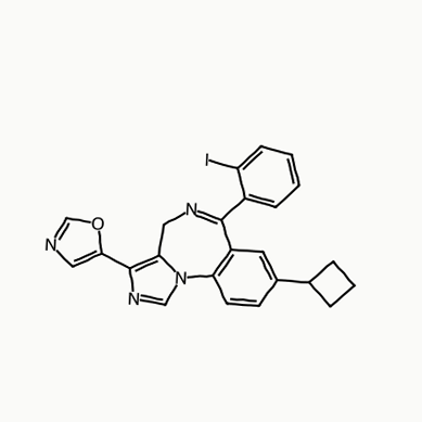 Ic1ccccc1C1=NCc2c(-c3cnco3)ncn2-c2ccc(C3CCC3)cc21